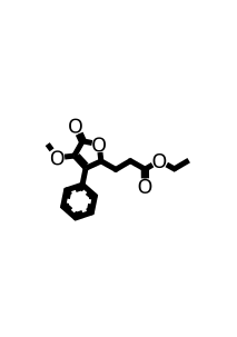 CCOC(=O)CCC1OC(=O)C(OC)=C1c1ccccc1